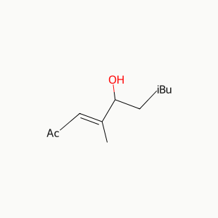 CCC(C)CC(O)/C(C)=C/C(C)=O